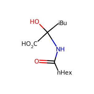 CCCCCCC(=O)NC(O)(C(=O)O)C(C)CC